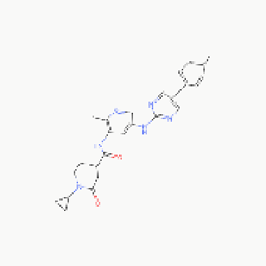 Cc1ccc(-c2cnc(Nc3cnc(C)c(NC(=O)C4CCN(C5CC5)C(=O)C4)c3)nc2)cc1